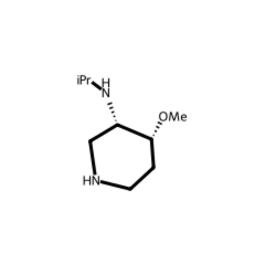 CO[C@@H]1CCNC[C@@H]1NC(C)C